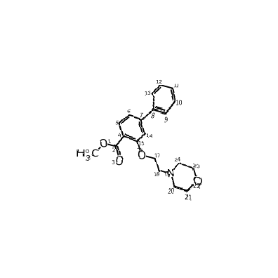 COC(=O)c1ccc(-c2ccccc2)cc1OCCN1CCOCC1